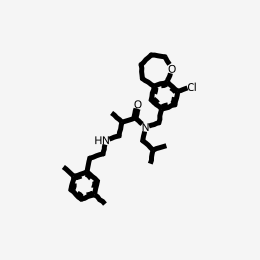 Cc1ccc(C)c(CCNCC(C)C(=O)N(Cc2cc(Cl)c3c(c2)CCCCO3)CC(C)C)c1